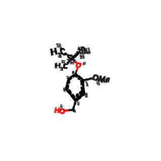 COc1cc(CO)ccc1O[Si](C)(C)C(C)(C)C